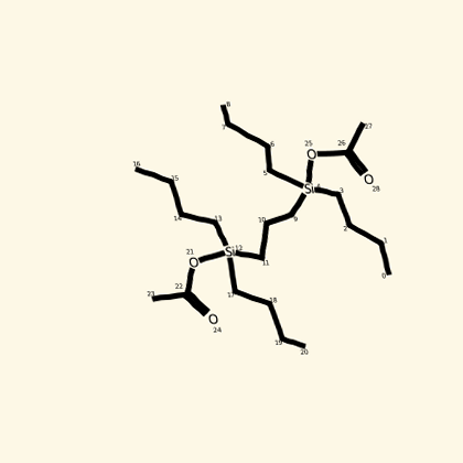 CCCC[Si](CCCC)(CCC[Si](CCCC)(CCCC)OC(C)=O)OC(C)=O